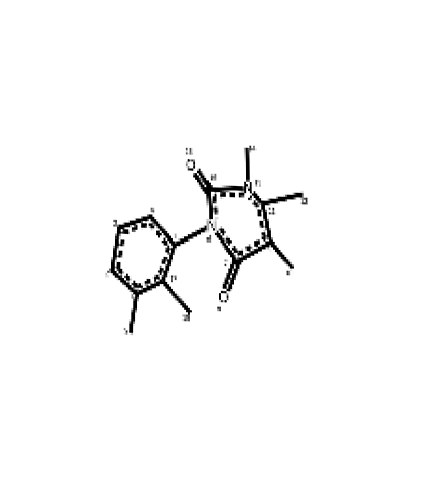 Cc1cccc(-n2c(=O)c(C)c(C)n(C)c2=O)c1C